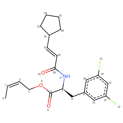 C/C=C\COC(=O)[C@H](Cc1cc(F)cc(F)c1)NC(=O)/C=C/C1CCCC1